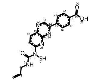 C=CCNC(=O)N(S)c1ccc2ncc(-c3ccc(C(=O)O)cc3)nc2n1